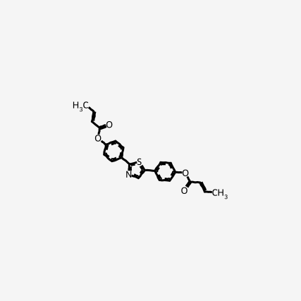 C/C=C/C(=O)Oc1ccc(-c2cnc(-c3ccc(OC(=O)/C=C/C)cc3)s2)cc1